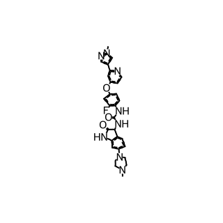 CN1CCN(c2ccc3c(c2)NC(=O)C3NC(=O)Nc2ccc(Oc3ccnc(-c4cnn(C)c4)c3)cc2F)CC1